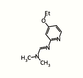 CCOc1ccnc(/N=C/N(C)C)c1